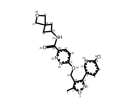 Cc1onc(-c2ccc(Cl)nc2)c1COc1ccc(C(=O)NC2CC3(COC3)C2)nn1